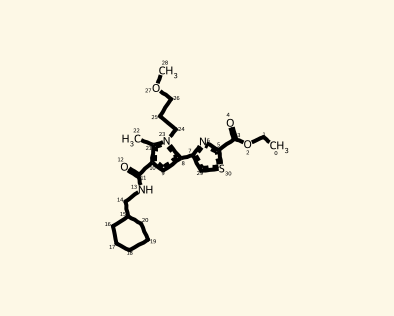 CCOC(=O)c1nc(-c2cc(C(=O)NCC3CCCCC3)c(C)n2CCCOC)cs1